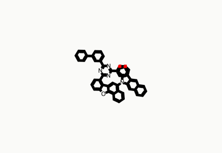 c1ccc(-c2cccc(-c3nc(-c4ccccc4)nc(-c4cccc5oc6c7ccccc7c(-n7c8ccccc8c8cc9ccccc9cc87)cc6c45)n3)c2)cc1